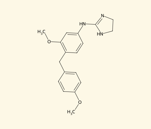 COc1ccc(Cc2ccc(NC3=NCCN3)cc2OC)cc1